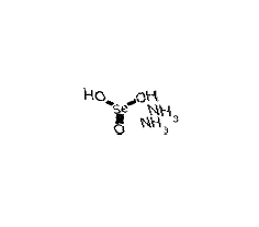 N.N.O=[Se](O)O